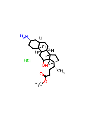 COC(=O)CC[C@@H](C)[C@H]1CC[C@H]2[C@@H]3CC[C@@H]4C[C@@H](N)CC[C@]4(C)[C@H]3C[C@H](O)[C@]12C.Cl